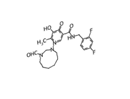 Cc1c(O)c(=O)c(C(=O)NCc2ccc(F)cc2F)cn1N1CCCCCCN(C=O)C1